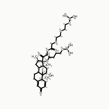 C[C@@H]1CC2C3CCC4=CC(=O)C=C[C@]4(C)C3(F)[C@@H](O)C[C@]2(C)[C@@]1(OC(=O)CCCON(O)O)C(=O)COC(=O)COCCOCCON(O)O